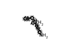 C=C(C1CCCN1C(=O)c1cccc(-c2cn3ccccc3n2)c1)N1CC2CN(c3ccc(N)cc3)CC2C1